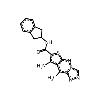 Cc1c2c(N)c(C(=O)NC3Cc4ccccc4C3)sc2nn2cnnc12